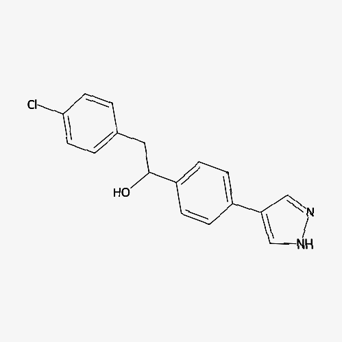 OC(Cc1ccc(Cl)cc1)c1ccc(-c2cn[nH]c2)cc1